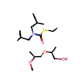 CCSC(=O)N(CC(C)C)CC(C)C.COC(C)COC(C)CO